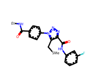 CCNC(=O)c1ccc(-n2nnc(C(=O)Nc3cccc(F)c3)c2CSC)cc1